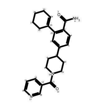 NC(=O)c1ccc(C2CCN(C(=O)c3cccnc3)CC2)cc1C1=CCCCC1